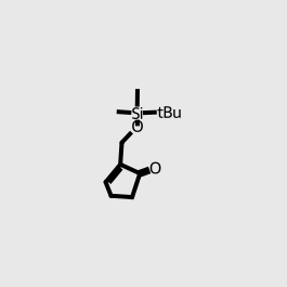 CC(C)(C)[Si](C)(C)OCC1=CCCC1=O